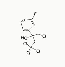 OC(CCl)(CC(Cl)(Cl)Cl)c1cccc(F)c1